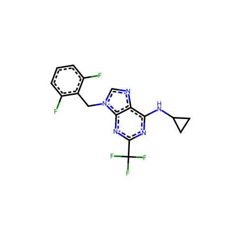 Fc1cccc(F)c1Cn1cnc2c(NC3CC3)nc(C(F)(F)F)nc21